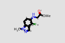 COC(=O)CNc1ccc2c(cnn2C)c1F